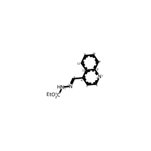 CCOC(=O)NN=Cc1ccnc2ccccc12